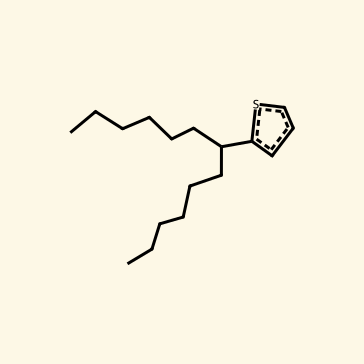 CCCCCCC(CCCCCC)c1cccs1